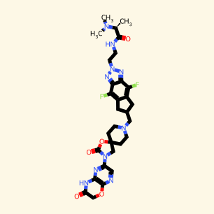 C[C@H](C(=O)NCCn1nc2c(F)c3c(c(F)c2n1)CC(CN1CCC2(CC1)CN(c1cnc4c(n1)NC(=O)CO4)C(=O)O2)C3)N(C)C